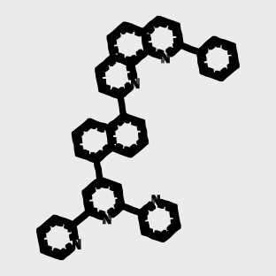 c1ccc(-c2ccc3ccc4ccc(-c5cccc6c(-c7cc(-c8ccccn8)nc(-c8ccccn8)c7)cccc56)nc4c3n2)cc1